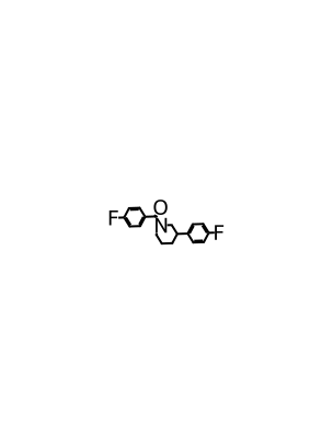 O=C(c1ccc(F)cc1)N1CCCC(c2ccc(F)cc2)C1